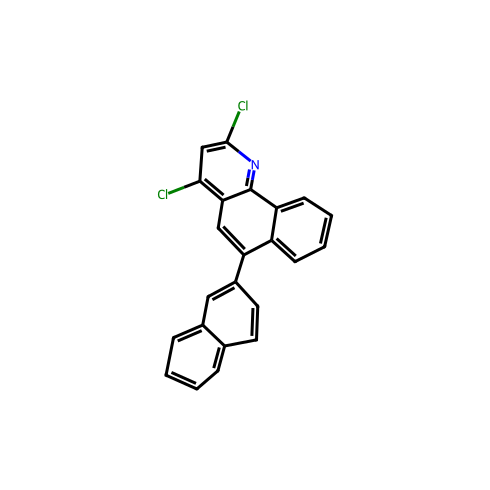 Clc1cc(Cl)c2cc(-c3ccc4ccccc4c3)c3ccccc3c2n1